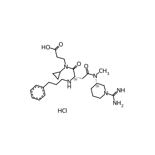 CN(C(=O)C[C@H](NCCCc1ccccc1)C(=O)N(CCC(=O)O)C1CC1)[C@H]1CCCN(C(=N)N)C1.Cl